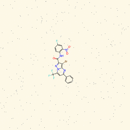 O=C(Nc1ccc(F)cc1[N+](=O)[O-])c1nn2c(C(F)(F)F)cc(-c3ccccc3)nc2c1Br